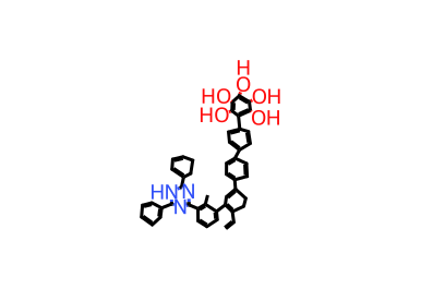 C=CC1=C(c2cccc(C3=NC(c4ccccc4)NC(C4=CC=CCC4)=N3)c2C)C=C(c2ccc(-c3ccc(-c4c(O)c(O)c(O)c(O)c4O)cc3)cc2)CC1